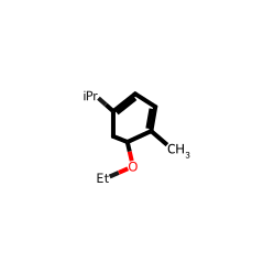 CCOC1CC(C(C)C)=CC=C1C